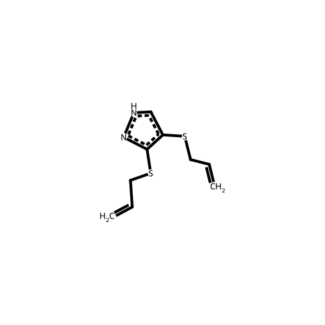 C=CCSc1c[nH]nc1SCC=C